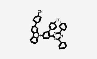 N#Cc1ccc(-c2ccc3c4ccccc4n(-c4ccc(-c5nc(-c6ccccc6)nc(-c6ccccc6)n5)c(-c5ccc(C(F)(F)F)cc5)c4)c3c2)cc1